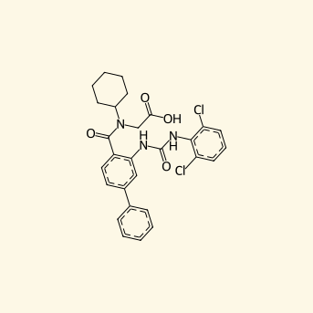 O=C(O)CN(C(=O)c1ccc(-c2ccccc2)cc1NC(=O)Nc1c(Cl)cccc1Cl)C1CCCCC1